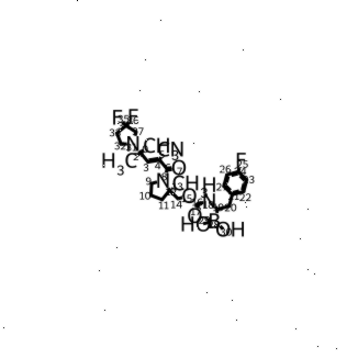 CC(C)(C=C(C#N)C(=O)N1CCC[C@]1(C)COC(=O)NC(Cc1ccc(F)cc1)B(O)O)N1CCC(F)(F)C1